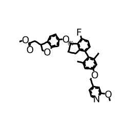 COC(=O)CC1COc2cc(O[C@@H]3CCc4c(-c5c(C)cc(OCc6ccnc(OC)c6)cc5C)ccc(F)c43)ccc21